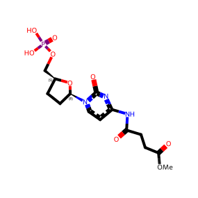 COC(=O)CCC(=O)Nc1ccn([C@H]2CC[C@@H](COP(=O)(O)O)O2)c(=O)n1